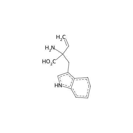 C=CC(N)(Cc1c[nH]c2ccccc12)C(=O)O